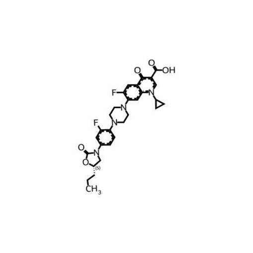 CCC[C@H]1CN(c2ccc(N3CCN(c4cc5c(cc4F)c(=O)c(C(=O)O)cn5C4CC4)CC3)c(F)c2)C(=O)O1